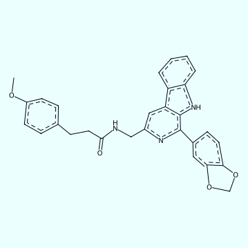 COc1ccc(CCC(=O)NCc2cc3c([nH]c4ccccc43)c(-c3ccc4c(c3)OCO4)n2)cc1